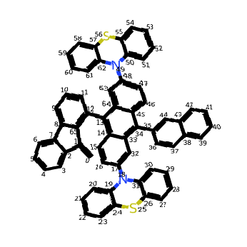 C=C1c2ccccc2-c2cccc(-c3c4ccc(N5c6ccccc6Sc6ccccc65)cc4c(-c4ccc5ccccc5c4)c4ccc(N5c6ccccc6Sc6ccccc65)cc34)c21